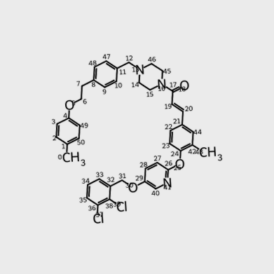 Cc1ccc(OCCc2ccc(CN3CCN(C(=O)/C=C/c4ccc(Oc5ccc(OCc6cccc(Cl)c6Cl)cn5)c(C)c4)CC3)cc2)cc1